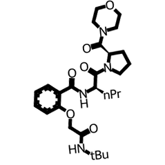 CCC[C@@H](NC(=O)c1ccccc1OCC(=O)NC(C)(C)C)C(=O)N1CCC[C@@H]1C(=O)N1CCOCC1